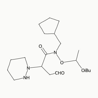 CC(C)COC(C)ON(CC1CCCC1)C(=O)C(CC=O)N1CCCCN1